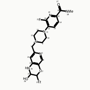 CCC1Oc2cnc(CN3CCN(c4ccc(C(=O)NC)nc4F)CC3)cc2NC1O